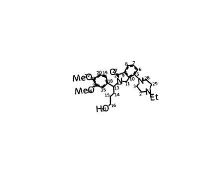 CCN1CCN(c2cccc3c2CN(C(CCCO)c2ccc(OC)c(OC)c2)C3=O)CC1